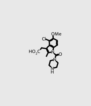 COc1ccc2c(c1Cl)c(CC(=O)O)c(C)n2C(=O)N1CCNCC1